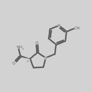 N#Cc1cc(CN2CC[C@@H](C(N)=O)C2=O)ccn1